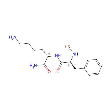 NCCCC[C@H](NC(=O)[C@H](Cc1ccccc1)NS)C(N)=O